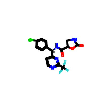 O=C1NCC(C(=O)N[C@@H](c2ccc(Cl)cc2)c2ccnc(C(F)(F)F)n2)O1